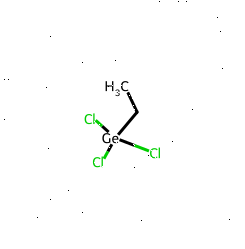 C[CH2][Ge]([Cl])([Cl])[Cl]